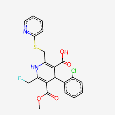 COC(=O)C1=C(CF)NC(CSc2ccccn2)=C(C(=O)O)C1c1ccccc1Cl